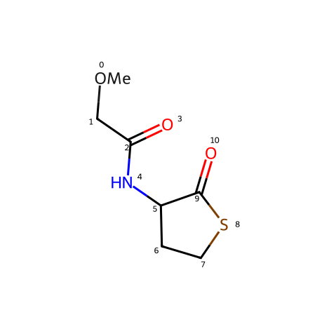 COCC(=O)NC1CCSC1=O